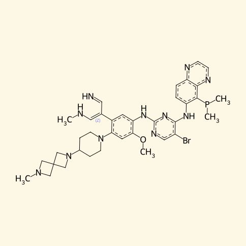 CN/C=C(\C=N)c1cc(Nc2ncc(Br)c(Nc3ccc4nccnc4c3P(C)C)n2)c(OC)cc1N1CCC(N2CC3(CN(C)C3)C2)CC1